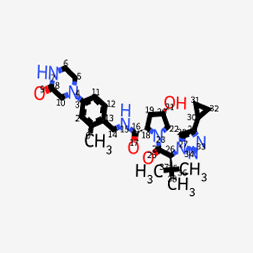 Cc1cc(N2CCNC(=O)C2)ccc1CNC(=O)[C@@H]1C[C@@H](O)CN1C(=O)[C@@H](n1cc(C2CC2)nn1)C(C)(C)C